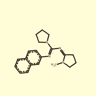 CN1CCC/C1=N/C(=N/c1ccc2ccccc2c1)N1CCCC1